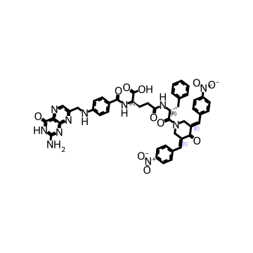 Nc1nc2nc(CNc3ccc(C(=O)N[C@H](CCC(=O)N[C@H](Cc4ccccc4)C(=O)N4C/C(=C\c5ccc([N+](=O)[O-])cc5)C(=O)/C(=C/c5ccc([N+](=O)[O-])cc5)C4)C(=O)O)cc3)cnc2c(=O)[nH]1